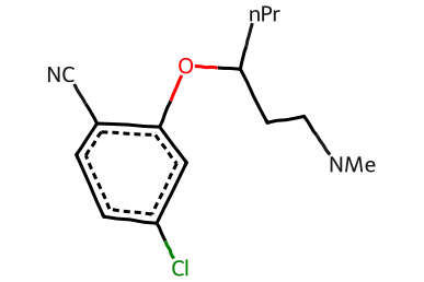 CCCC(CCNC)Oc1cc(Cl)ccc1C#N